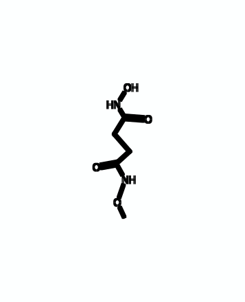 CONC(=O)CCC(=O)NO